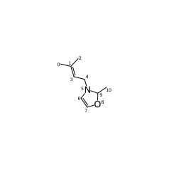 CC(C)=CCN1C=COC1C